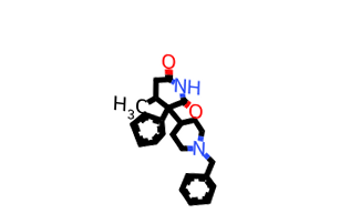 CC1CC(=O)NC(=O)C1(c1ccccc1)C1CCN(Cc2ccccc2)CC1